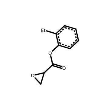 CCc1ccccc1OC(=O)C1CO1